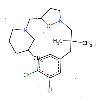 CC1CCCN(CC2CCN(CC(C)(C)Cc3ccc(Cl)c(Cl)c3)O2)C1